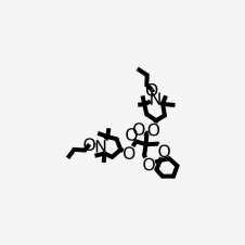 CCCON1C(C)(C)CC(OC(=O)C2(C(=O)OC3CC(C)(C)N(OCCC)C(C)(C)C3)COC3(CCCCC3)OC2)CC1(C)C